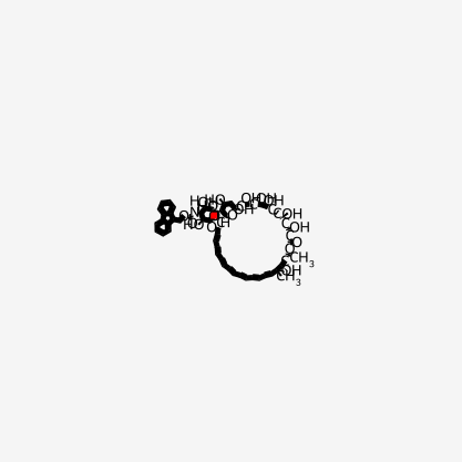 C[C@H]1C[C@H](O)[C@@H](C)/C=C/C=C/C=C/C=C/C=C/C=C/C=C/[C@H](O[C@@H]2OC[C@@H](O)[C@H](NC(=O)OCC3c4ccccc4-c4ccccc43)[C@@H]2O)C[C@@H]2O[C@](O)(C[C@@H](O)C[C@@H](O)[C@H](O)CC[C@@H](O)C[C@@H](O)CC(=O)O1)C[C@H](O)[C@H]2C(=O)O